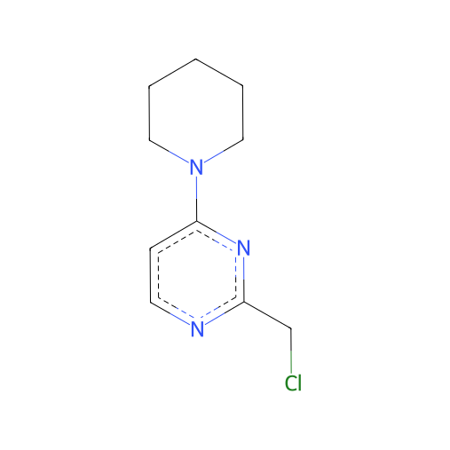 ClCc1nccc(N2CCCCC2)n1